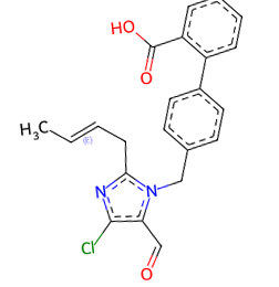 C/C=C/Cc1nc(Cl)c(C=O)n1Cc1ccc(-c2ccccc2C(=O)O)cc1